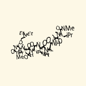 CCCC(=O)N(C)[C@H](COCCN(CC)CC)C(=O)N(C)[C@@H](CC(C)(C)OC)C(=O)N[C@H](C(=O)N(C)[C@@H](CC(C)C)C(=O)N[C@H](C)C(=O)N[C@@H](C)C(=O)N(C)[C@@H](CC(C)C)C(=O)NC)C(C)C